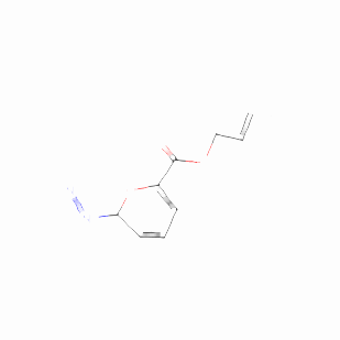 C=CCOC(=O)C1=CC=CC([N+]=[N-])O1